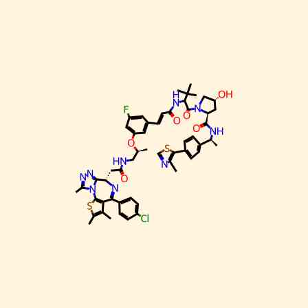 Cc1ncsc1-c1ccc([C@H](C)NC(=O)[C@@H]2C[C@@H](O)CN2C(=O)C(NC(=O)/C=C/c2cc(F)cc(O[C@@H](C)CNC(=O)C[C@@H]3N=C(c4ccc(Cl)cc4)c4c(sc(C)c4C)-n4c(C)nnc43)c2)C(C)(C)C)cc1